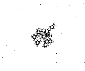 Cc1cc(Cc2ccc3c(c2)CC3)cc(C2(O)O[C@H](COCc3ccccc3)[C@@H](OCc3ccccc3)[C@H](OCc3ccccc3)[C@H]2OCc2ccccc2)c1OCc1ccccc1